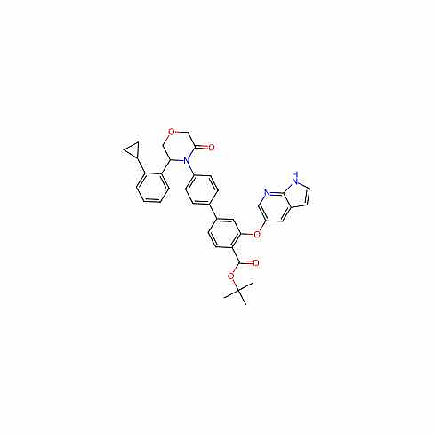 CC(C)(C)OC(=O)c1ccc(-c2ccc(N3C(=O)COCC3c3ccccc3C3CC3)cc2)cc1Oc1cnc2[nH]ccc2c1